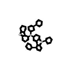 c1ccc(-c2cccc(N(c3ccc4c(c3)c3c(-c5ccccc5)cccc3n4-c3ccccc3)c3cccc4oc5ccccc5c34)c2)cc1